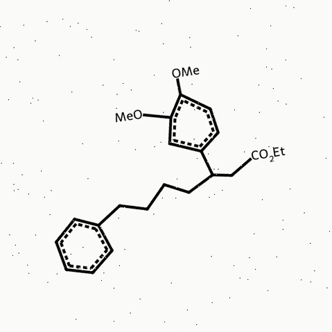 CCOC(=O)CC(CCCCc1ccccc1)c1ccc(OC)c(OC)c1